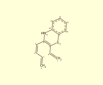 C=C/C=C\C1=C(C=C)Sc2ccccc2N1